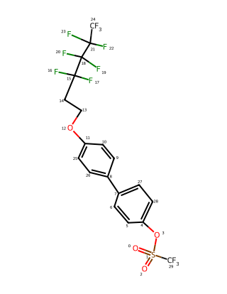 O=S(=O)(Oc1ccc(-c2ccc(OCCC(F)(F)C(F)(F)C(F)(F)C(F)(F)F)cc2)cc1)C(F)(F)F